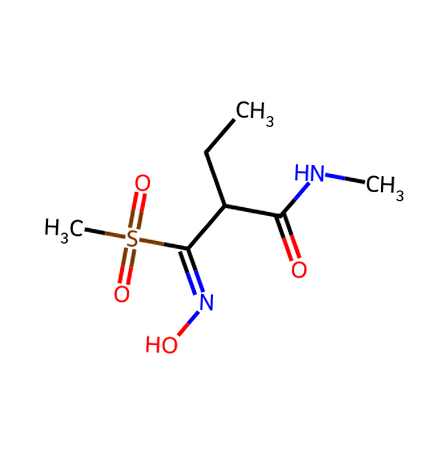 CCC(C(=O)NC)/C(=N/O)S(C)(=O)=O